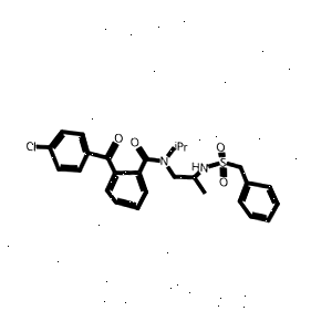 CC(CN(C(=O)c1ccccc1C(=O)c1ccc(Cl)cc1)C(C)C)NS(=O)(=O)Cc1ccccc1